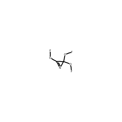 FOC1=NC1(OF)OF